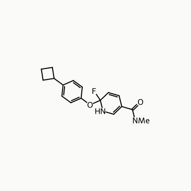 CNC(=O)C1=CNC(F)(Oc2ccc(C3CCC3)cc2)C=C1